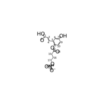 O=C(O)C=Cc1cc(O)ccc1OC(=O)CCCO[N+](=O)[O-]